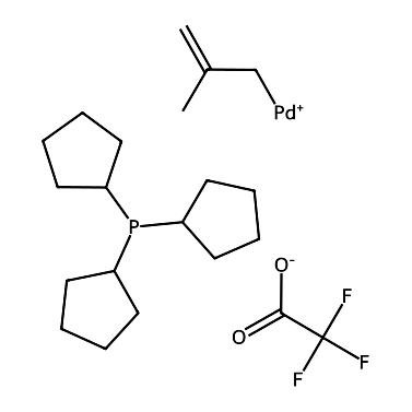 C1CCC(P(C2CCCC2)C2CCCC2)C1.C=C(C)[CH2][Pd+].O=C([O-])C(F)(F)F